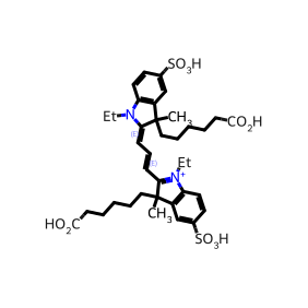 CCN1/C(=C/C=C/C2=[N+](CC)c3ccc(S(=O)(=O)O)cc3C2(C)CCCCCC(=O)O)C(C)(CCCCCC(=O)O)c2cc(S(=O)(=O)O)ccc21